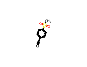 C#Cc1ccc(S(C)(=O)=O)cc1